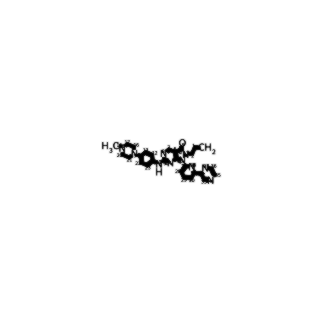 C=CCn1c(=O)c2cnc(Nc3ccc(N4CCN(C)CC4)cc3)nc2n1-c1cccc(-c2cnccn2)n1